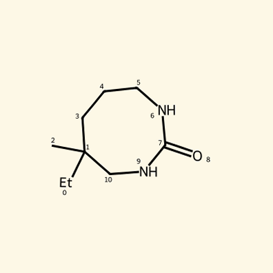 CCC1(C)CCCNC(=O)NC1